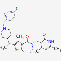 Cc1cc(C)c(CN2CCCc3sc(C(C)C4CCN(Cc5ccc(Cl)cn5)CC4)c(C)c3C2=O)c(=O)[nH]1